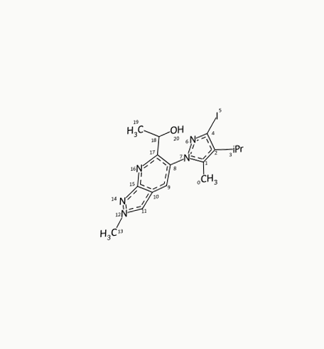 Cc1c(C(C)C)c(I)nn1-c1cc2cn(C)nc2nc1C(C)O